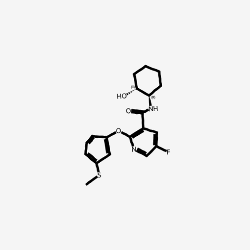 CSc1cccc(Oc2ncc(F)cc2C(=O)N[C@@H]2CCCC[C@H]2O)c1